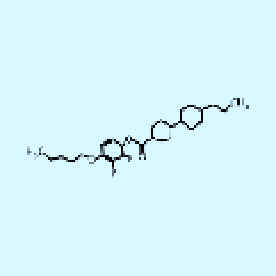 CCCCCOc1ccc(OC(=O)C2CCC(C3CCC(CCC)CC3)CC2)c(F)c1F